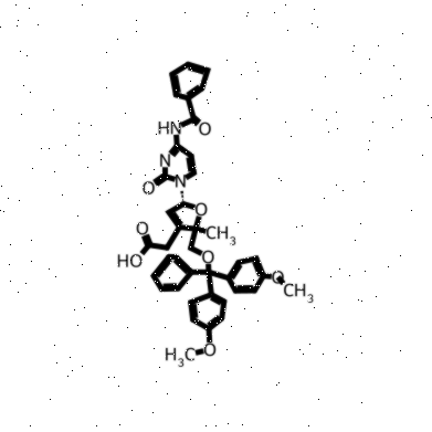 COc1ccc(C(OCC2(C)O[C@@H](n3ccc(NC(=O)c4ccccc4)nc3=O)C=C2CC(=O)O)(c2ccccc2)c2ccc(OC)cc2)cc1